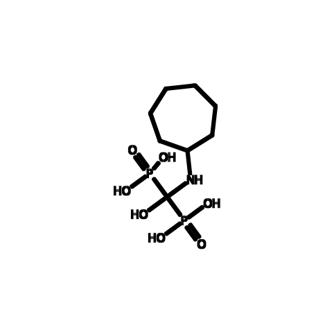 O=P(O)(O)C(O)(NC1CCCCCC1)P(=O)(O)O